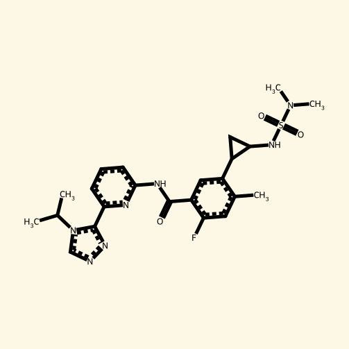 Cc1cc(F)c(C(=O)Nc2cccc(-c3nncn3C(C)C)n2)cc1C1CC1NS(=O)(=O)N(C)C